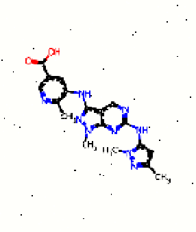 Cc1cc(Nc2ncc3c(Nc4cc(C(=O)O)cnc4C)nn(C)c3n2)n(C)n1